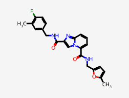 Cc1ccc(CNC(=O)c2cccc3nc(C(=O)NCc4ccc(F)c(C)c4)cn23)o1